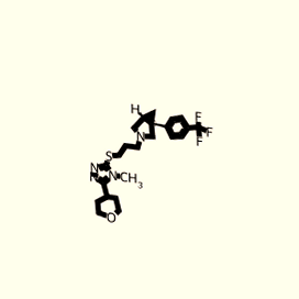 Cn1c(SCCCN2C[C@@H]3C[C@]3(c3ccc(C(F)(F)F)cc3)C2)nnc1C1CCOCC1